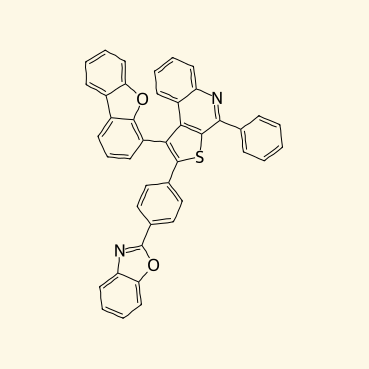 c1ccc(-c2nc3ccccc3c3c(-c4cccc5c4oc4ccccc45)c(-c4ccc(-c5nc6ccccc6o5)cc4)sc23)cc1